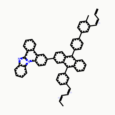 C=C/C=C\c1cc(-c2ccc(-c3c4ccccc4c(-c4cccc(/C=C\C=C/C)c4)c4cc(-c5ccc6c(c5)c5ccccc5c5nc7ccccc7n65)ccc34)cc2)ccc1C